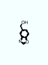 OCc1ccc2ocnc2c1